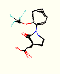 O=C(O)C1CCN(c2ccccc2OC(F)(F)F)C1=O